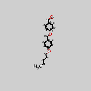 CCCCCOc1ccc(COc2ccc(C=O)cc2)cc1